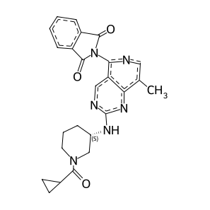 Cc1cnc(N2C(=O)c3ccccc3C2=O)c2cnc(N[C@H]3CCCN(C(=O)C4CC4)C3)nc12